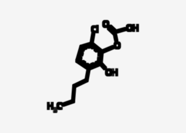 CCCCc1ccc(Cl)c(OC(=O)O)c1O